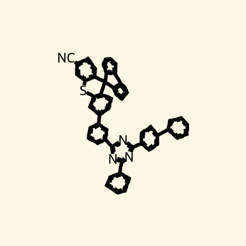 N#Cc1ccc2c(c1)Sc1cc(-c3cccc(-c4nc(-c5ccccc5)nc(-c5ccc(-c6ccccc6)cc5)n4)c3)ccc1C21c2ccccc2-c2ccccc21